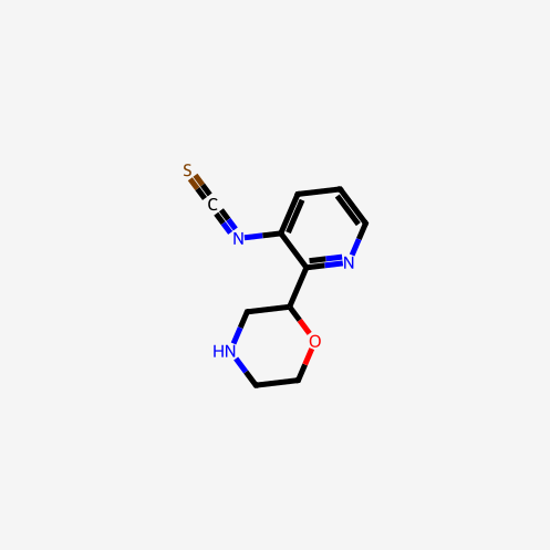 S=C=Nc1cccnc1C1CNCCO1